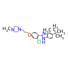 Cc1c(C(C)(C)C)ccc2[nH]c(-c3ccc(OCCCN4CCN(C)CC4)cc3Cl)nc12